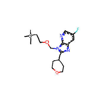 C[Si](C)(C)CCOCn1c(C2CCOCC2)nc2cc(F)cnc21